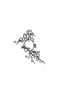 C=CC(=O)N1CCC(O)(C(=O)N(C)[C@H](C(=O)N[C@H]2Cc3nc(cs3)-c3ccc4c(c3)c(c(-c3cc(C5=CCN(C)CC5)cnc3[C@H](C)OC)n4CC)CC(C)(C)COC(=O)[C@@]3(O)CCCN(N3)C2=O)C(C)C)C1